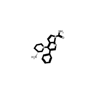 NC(=O)n1c[c]c2c(N3CCC[C@@H](N)C3)c(-c3ccccc3)cnc21